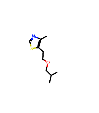 Cc1ncsc1CCOCC(C)C